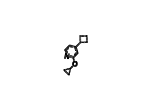 c1cc(C2CCC2)cc(OC2CC2)n1